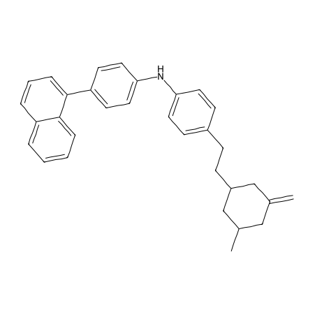 C=C1CC(C)CC(CCc2ccc(Nc3ccc(-c4cccc5ccccc45)cc3)cc2)C1